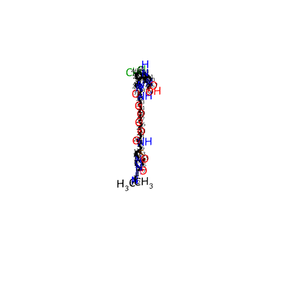 CN(C)C/C=C/C(=O)N1CCN(c2ccc(CCNC(=O)CCOCCOCCOCCOCCNC(=O)Cn3ccc(-c4cc(Cl)c(Cl)c5[nH]c6c(c45)CN(C(=O)CO)CC6)n3)s2)C(=O)C1